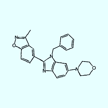 Cc1noc2ccc(-c3nc4ccc(N5CCOCC5)cc4n3Cc3ccccc3)cc12